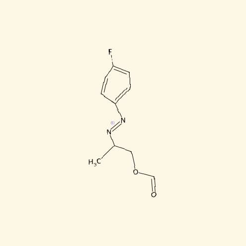 CC(COC=O)/N=N/c1ccc(F)cc1